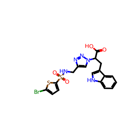 O=C(O)C(Cc1c[nH]c2ccccc12)n1cc(CNS(=O)(=O)c2ccc(Br)s2)nn1